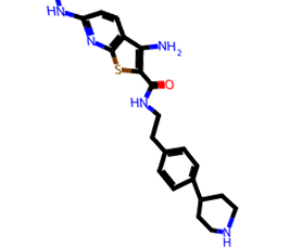 CNc1ccc2c(N)c(C(=O)NCCc3ccc(C4CCNCC4)cc3)sc2n1